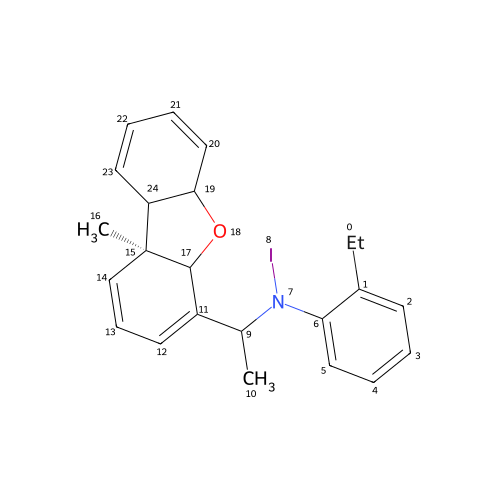 CCc1ccccc1N(I)C(C)C1=CC=C[C@]2(C)C1OC1C=CC=CC12